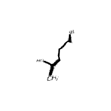 [CH2]C(O)CCCS